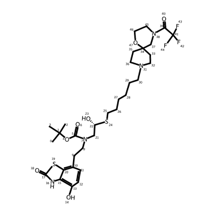 CC(C)(C)OC(=O)N(CCc1ccc(O)c2[nH]c(=O)sc12)C[C@H](O)SCCCCCCN1CCC2(CC1)CN(C(=O)C(F)(F)F)CCO2